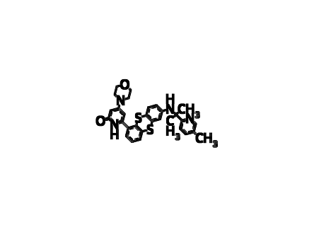 Cc1ccc(C(C)(C)Nc2ccc3c(c2)Sc2cccc(-c4cc(N5CCOCC5)cc(=O)[nH]4)c2S3)nc1